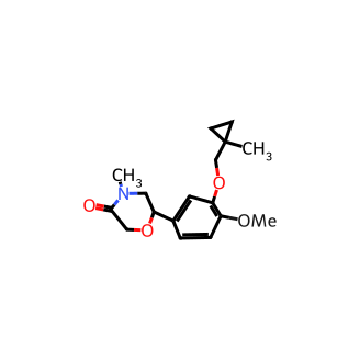 COc1ccc(C2CN(C)C(=O)CO2)cc1OCC1(C)CC1